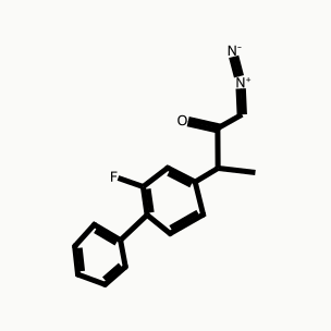 CC(C(=O)C=[N+]=[N-])c1ccc(-c2ccccc2)c(F)c1